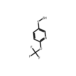 FC(F)(F)Oc1ccc(SS)cn1